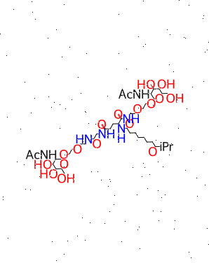 CC(=O)NC1C(OCCOCCNC(=O)CNC(=O)CCC(NC(=O)CCCCCCC(=O)C(C)C)C(=O)NCCOCCOC2OC(CO)C(O)C(O)C2NC(C)=O)OC(CO)C(O)C1O